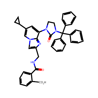 O=C(O)c1ccccc1C(=O)NCc1cn2cc(C3CC3)cc(N3CCN(C(c4ccccc4)(c4ccccc4)c4ccccc4)C3=O)c2n1